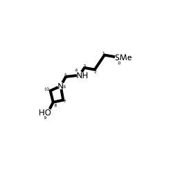 CSCCCNCN1CC(O)C1